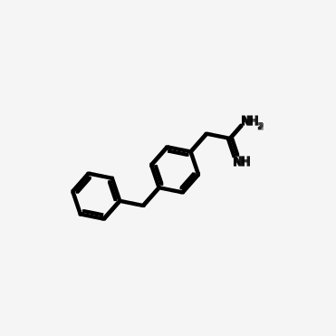 N=C(N)Cc1ccc(Cc2ccccc2)cc1